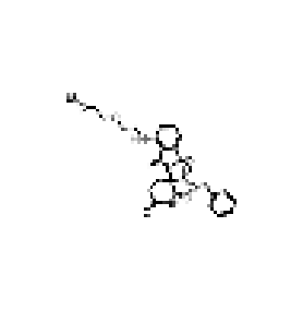 CCOCCOCCNc1cccc2c1C(=O)N(C1(C(=O)OCc3ccccc3)CCC(=O)NC1=O)C2=O